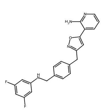 Nc1ncccc1-c1cc(Cc2ccc(CNc3cc(F)cc(F)c3)cc2)no1